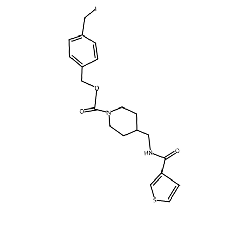 O=C(NCC1CCN(C(=O)OCc2ccc(CI)cc2)CC1)c1ccsc1